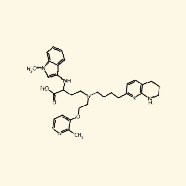 Cc1ncccc1OCCN(CCCCc1ccc2c(n1)NCCC2)CCC(Nc1cn(C)c2ccccc12)C(=O)O